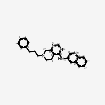 c1ccc(CCCN2CCc3c(ncnc3Nc3cnc4ccccc4c3)C2)cc1